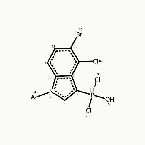 CC(=O)n1cc([PH](O)(Cl)Cl)c2c(Cl)c(Br)ccc21